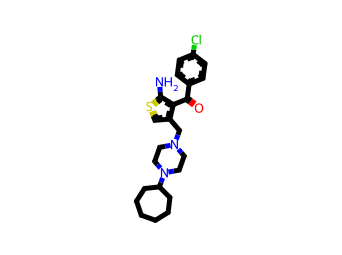 Nc1scc(CN2CCN(C3CCCCCC3)CC2)c1C(=O)c1ccc(Cl)cc1